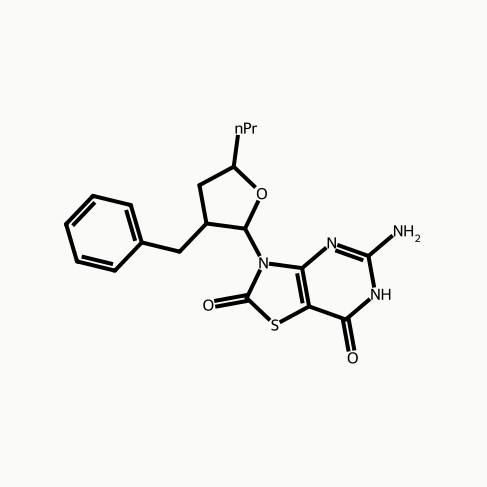 CCCC1CC(Cc2ccccc2)C(n2c(=O)sc3c(=O)[nH]c(N)nc32)O1